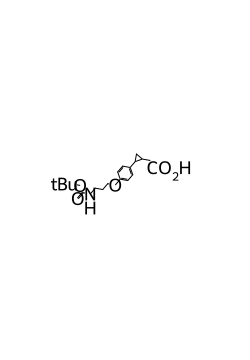 CC(C)(C)OC(=O)NCCCOc1ccc(C2CC2CC(=O)O)cc1